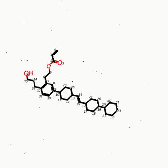 C=CC(=O)OCCc1cc(C2CCC(/C=C/C3CCC(C4CCCCC4)CC3)CC2)ccc1CCCO